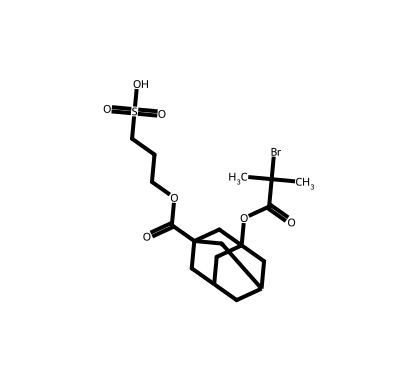 CC(C)(Br)C(=O)OC12CC3CC(C1)CC(C(=O)OCCCS(=O)(=O)O)(C3)C2